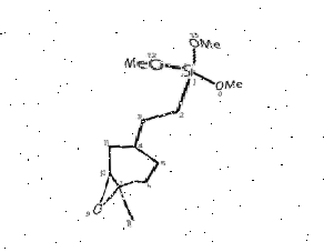 CO[Si](CCC1CCC2(C)OC2C1)(OC)OC